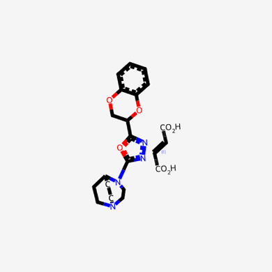 O=C(O)/C=C/C(=O)O.c1ccc2c(c1)OCC(c1nnc(N3CCN4CCC3CC4)o1)O2